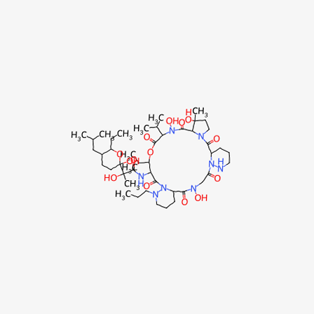 CCCN1CCCC2C(=O)N(O)CC(=O)N3NCCCC3C(=O)N3CCC(C)(O)C3C(=O)N(O)C(C(C)C)C(=O)OC(C(C)C)C(NC(=O)C(C)(O)C3(O)CCC(CC(C)C)C(CC)O3)C(=O)N21